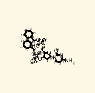 Nc1ccn([C@H]2C[C@H](OP(=O)(O)OCc3ccccc3)[C@@H](COP(=O)(O)OCc3ccccc3)O2)c(=O)n1.[Co]